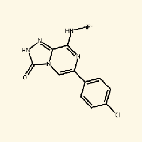 CC(C)Nc1nc(-c2ccc(Cl)cc2)cn2c(=O)[nH]nc12